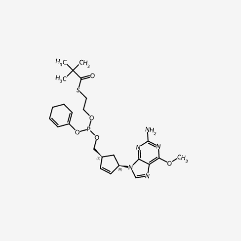 COc1nc(N)nc2c1ncn2[C@H]1C=C[C@@H](COP(OCCSC(=O)C(C)(C)C)OC2=CCCC=C2)C1